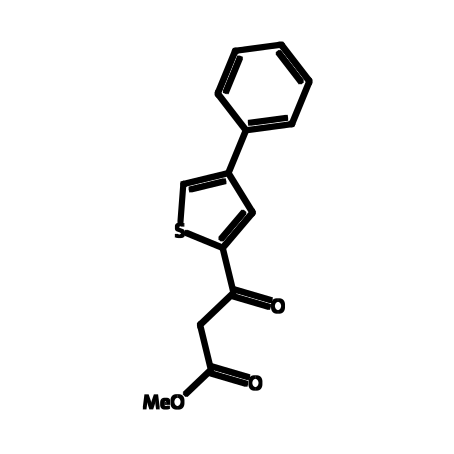 COC(=O)CC(=O)c1cc(-c2ccccc2)cs1